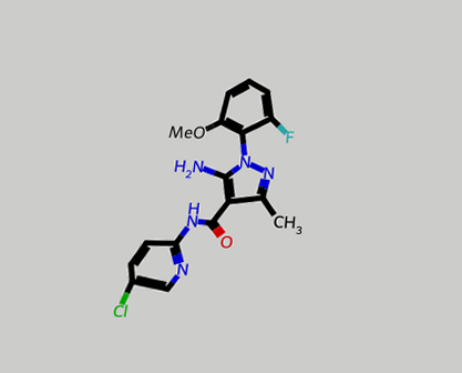 COc1cccc(F)c1-n1nc(C)c(C(=O)Nc2ccc(Cl)cn2)c1N